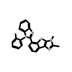 Cc1ccccc1-n1c(-c2cccc3c2sc2c3nc(C)n2C)nc2ccccc21